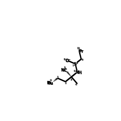 CC[C@@H](C)CC[C@@](C)(C#N)N[S+]([O-])CC(C)C